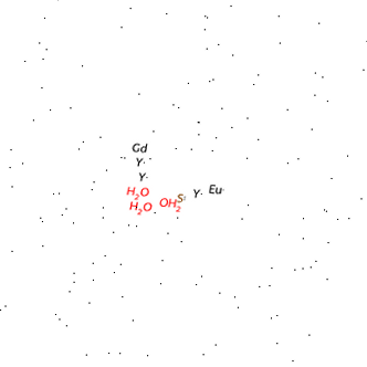 O.O.O.[Eu].[Gd].[S].[Y].[Y].[Y]